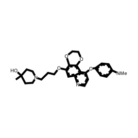 CNc1ccc(Oc2ccnc3cc(OCCCN4CCC(C)(O)CC4)c4c(c23)OCCO4)cc1